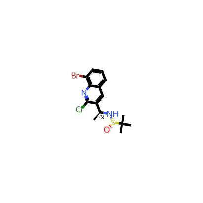 C[C@H](N[S+]([O-])C(C)(C)C)c1cc2cccc(Br)c2nc1Cl